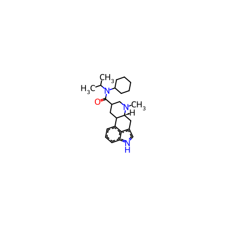 CC(C)N(C(=O)C1CC2c3cccc4[nH]cc(c34)C[C@H]2N(C)C1)C1CCCCC1